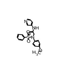 COc1ccc(N(CC(=O)Nc2cccnc2)S(=O)(=O)c2ccccc2)cc1